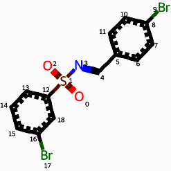 O=S(=O)(/N=C/c1ccc(Br)cc1)c1cccc(Br)c1